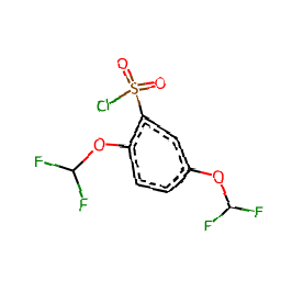 O=S(=O)(Cl)c1cc(OC(F)F)ccc1OC(F)F